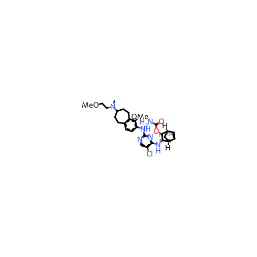 COCCN(C)C1CCc2ccc(Nc3ncc(Cl)c(N[C@H]4[C@@H](OC(N)=O)[C@@H]5C=C[C@H]4C5)n3)c(OC)c2CC1